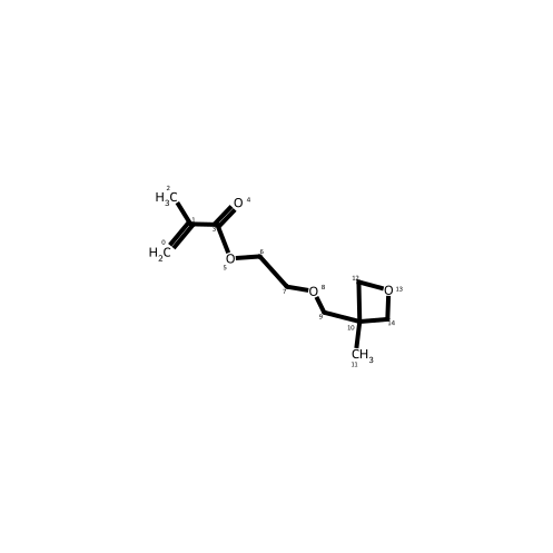 C=C(C)C(=O)OCCOCC1(C)COC1